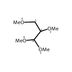 COCC(OC)C(OC)OC